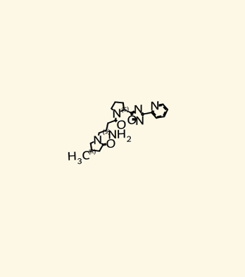 C[C@@H]1CC(=O)N(C[C@@H](N)CC(=O)N2CCC[C@H]2c2nc(-c3ccccn3)no2)C1